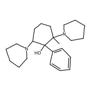 CC1(N2CCCCC2)CCCC(N2CCCCC2)C1(O)c1ccccc1